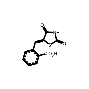 O=C1NC(=O)C(=Cc2ccccc2C(=O)O)S1